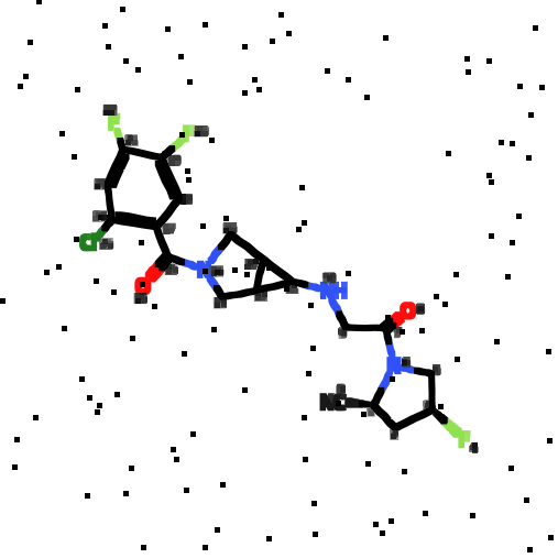 N#C[C@@H]1C[C@H](F)CN1C(=O)CNC1C2CN(C(=O)c3cc(F)c(F)cc3Cl)CC21